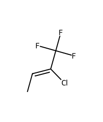 CC=C(Cl)C(F)(F)F